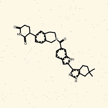 CC1(C)CCc2c(-c3cc4ccc(C(=O)N5CCc6cc(C7CCC(=O)NC7=O)ccc6C5)cc4[nH]3)n[nH]c2C1